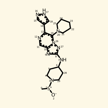 C[S+]([O-])N1CCC(Nc2nc3cnc(-c4cn[nH]c4)c(N4CCCCC4)n3n2)CC1